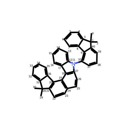 CC1(C)c2ccccc2-c2c(-n3c4ccccc4c4c5c6c(ccc5ccc43)C(C)(C)c3ccccc3-6)cccc21